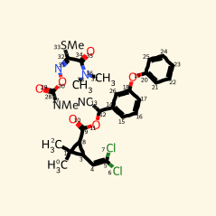 CC1(C)C(C=C(Cl)Cl)C1C(=O)OC(C#N)c1cccc(Oc2ccccc2)c1.CNC(=O)O/N=C(/SC)C(=O)N(C)C